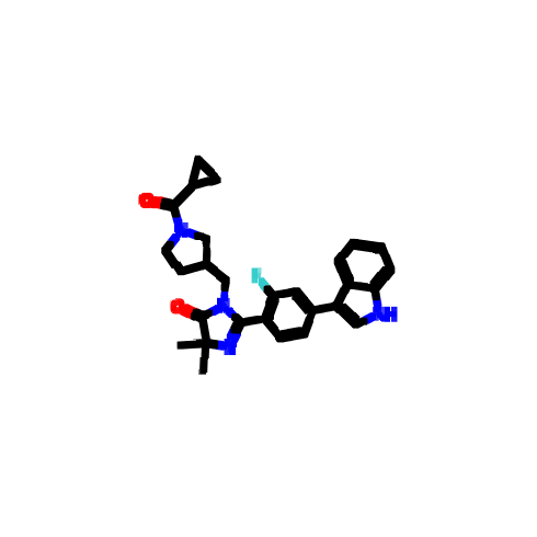 CC1(C)N=C(c2ccc(-c3c[nH]c4ccccc34)cc2F)N(CC2CCN(C(=O)C3CC3)C2)C1=O